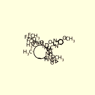 COc1ccc2nc(C)c(O[C@@H]3C[C@H]4C(=O)N[C@]5(C(=O)NS(=O)(=O)C6(C)CC6)CC5/C=C\CC[C@H](C)C[C@@H](C)[C@H](NC(=O)OC(C)(C)C(F)(F)F)C(=O)N4C3)nc2c1